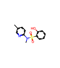 Cc1ccc(N(C)S(=O)(=O)c2ccccc2O)nc1